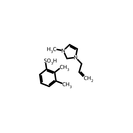 C=CCN1C=CN(C)C1.Cc1cccc(S(=O)(=O)O)c1C